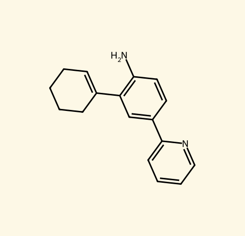 Nc1ccc(-c2ccccn2)cc1C1=CCCCC1